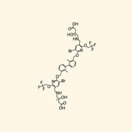 Cc1c(COc2nc(OCC(F)(F)F)c(CNC[C@@H](O)CC(=O)O)cc2Br)cccc1-c1cccc(COc2nc(OCC(F)(F)F)c(CNC[C@@H](O)CC(=O)O)cc2Br)c1C